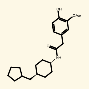 COc1cc(CC(=O)N[C@H]2CC[C@H](CC3CCCC3)CC2)ccc1O